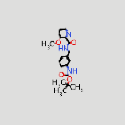 COc1cccnc1C(=O)NCc1cccc(NC(=O)OC(C)(C)C)c1